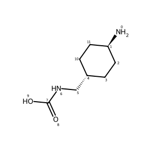 N[C@H]1CC[C@H](CNC(=O)O)CC1